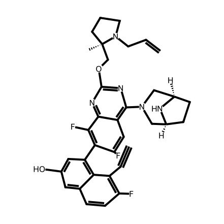 C#Cc1c(F)ccc2cc(O)cc(-c3c(F)cc4c(N5C[C@H]6CC[C@@H](C5)N6)nc(OC[C@@]5(C)CCCN5CC=C)nc4c3F)c12